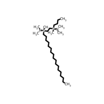 CCCCCCCCCCCCCCCCCC[Si](C)(CC[Si](C)(CCCC)N(C)C)N(C)C